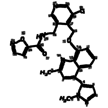 Cc1cc(-c2ccnn2C)c2cccc(OCc3c(Cl)cncc3CNC(=O)c3ccno3)c2n1